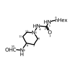 CCCCCCNC(=O)NN1CCC(NC=O)CC1